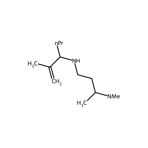 C=C(C)C(CCC)NCCC(C)NC